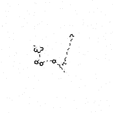 Cc1cccc(-c2nc(CNCc3ccccc3-c3cccc(CNC(=O)OCc4ccc(NC(=O)C(CCCNC(N)=O)NC(=O)C(NC(=O)CCOCCOCCOCCOCCN5C(=O)C=CC5=O)C(C)C)cc4)c3)[nH]c2-c2ccc3ncnn3c2)n1